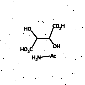 CC(N)=O.O=C(O)C(O)C(O)C(=O)O